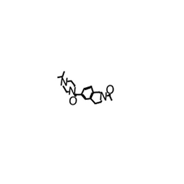 CC(=O)N1CCc2cc(C(=O)N3CCN(C(C)C)CC3)ccc2C1